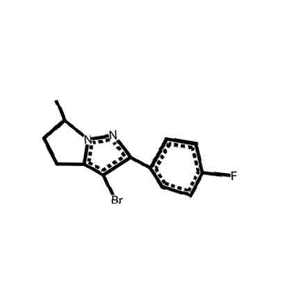 CC1CCc2c(Br)c(-c3ccc(F)cc3)nn21